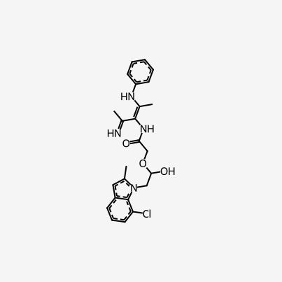 CC(=N)/C(NC(=O)COC(O)Cn1c(C)cc2cccc(Cl)c21)=C(/C)Nc1ccccc1